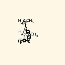 CCC(C)NCCCOc1ccc(C(C)N2CCN(C(=O)c3ccc(C(F)(F)F)cc3)CC2)c(C)c1C